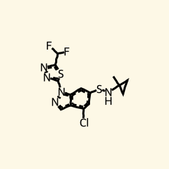 CC1(NSc2cc(Cl)c3cnn(-c4nnc(C(F)F)s4)c3c2)CC1